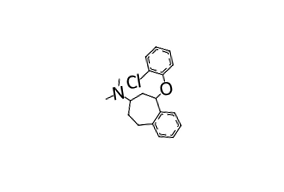 CN(C)C1CCc2ccccc2C(Oc2ccccc2Cl)C1